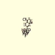 O=C(NS(=O)(=O)C(F)(F)F)c1ccc2c(Cl)ccnc2c1